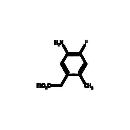 CCOC(=O)Cc1cc(N)c(F)cc1C